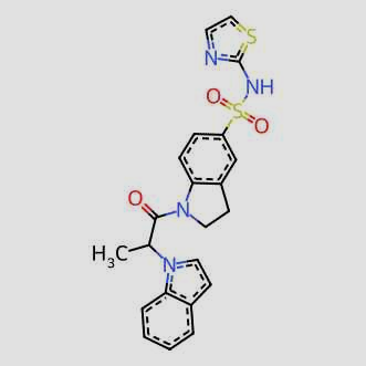 CC(C(=O)N1CCc2cc(S(=O)(=O)Nc3nccs3)ccc21)n1ccc2ccccc21